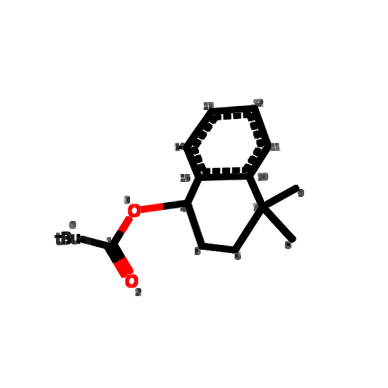 CC(C)(C)C(=O)OC1CCC(C)(C)c2ccccc21